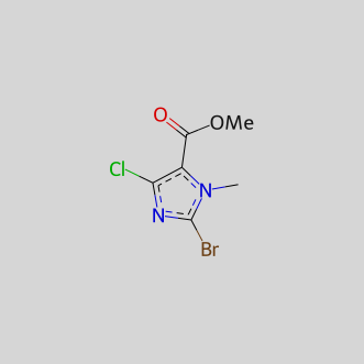 COC(=O)c1c(Cl)nc(Br)n1C